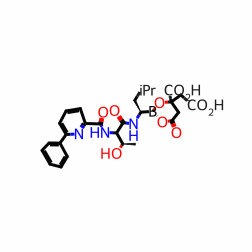 CC(C)C[C@H](NC(=O)C(NC(=O)c1cccc(-c2ccccc2)n1)[C@@H](C)O)B1OC(=O)CC(CC(=O)O)(C(=O)O)O1